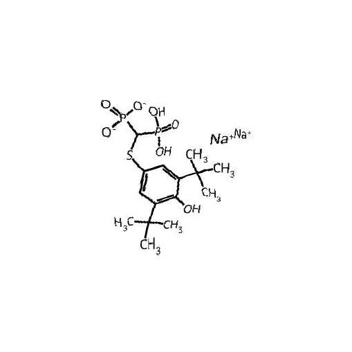 CC(C)(C)c1cc(SC(P(=O)([O-])[O-])P(=O)(O)O)cc(C(C)(C)C)c1O.[Na+].[Na+]